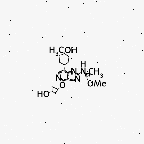 COC[C@H](C)Nc1ncc2c(O[C@H]3C[C@@H](O)C3)ncc([C@H]3CC[C@@](C)(O)CC3)c2n1